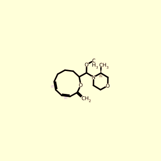 C=C1/C=C\C=C/CCCC(C(OC)N2CCOC[C@@H]2C)O1